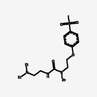 CCN(CC)CCNC(=O)N(CCOc1ccc(S(C)(=O)=O)cc1)C(C)C